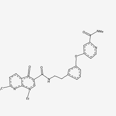 CCn1cc(C(=O)NCCc2cccc(Oc3ccnc(C(=O)NC)c3)c2)c(=O)c2ccc(C)nc21